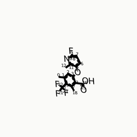 Cc1cc(Oc2ccc(F)nc2C)c(C(=O)O)c(C)c1C(F)(F)F